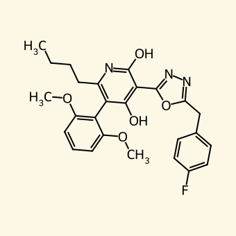 CCCCc1nc(O)c(-c2nnc(Cc3ccc(F)cc3)o2)c(O)c1-c1c(OC)cccc1OC